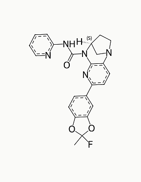 CC1(F)Oc2ccc(-c3ccc4c(n3)N(C(=O)Nc3ccccn3)[C@H]3CCN4C3)cc2O1